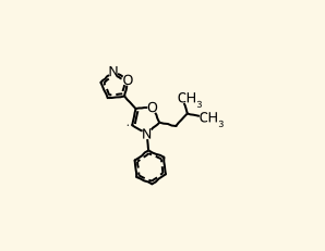 CC(C)CC1OC(c2ccno2)=[C]N1c1ccccc1